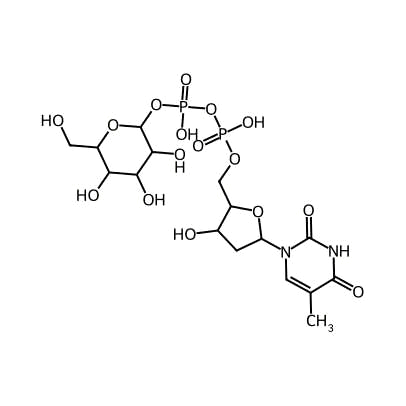 Cc1cn(C2CC(O)C(COP(=O)(O)OP(=O)(O)OC3OC(CO)C(O)C(O)C3O)O2)c(=O)[nH]c1=O